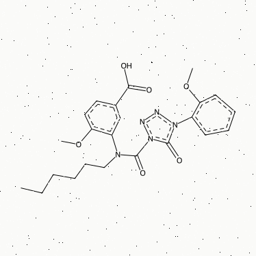 CCCCCCN(C(=O)n1nnn(-c2ccccc2OC)c1=O)c1cc(C(=O)O)ccc1OC